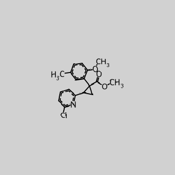 COC(=O)C1(c2cc(C)ccc2OC)CC1c1cccc(Cl)n1